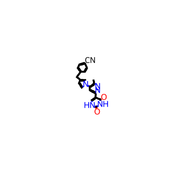 Cc1nnc(-c2c[nH]c(=O)[nH]c2=O)cc1-n1ccc(Cc2ccc(C#N)cc2)c1